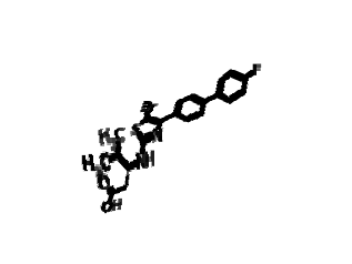 CC(C)[C@@H](CC(=O)O)Nc1nc(-c2ccc(-c3ccc(F)cc3)cc2)c(Br)s1